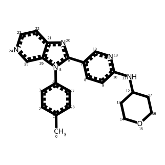 Cc1ccc(-n2c(-c3ccc(NC4CCOCC4)nc3)nc3ccncc32)cc1